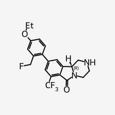 CCOc1ccc(-c2cc3c(c(C(F)(F)F)c2)C(=O)N2CCNC[C@@H]32)c(CF)c1